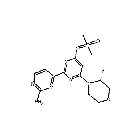 C[C@@H]1COCCN1c1cc(N=S(C)(C)=O)nc(-c2ccnc(N)n2)n1